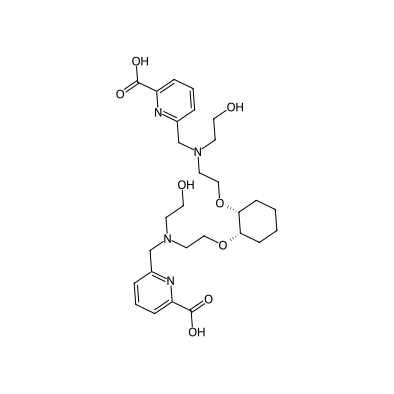 O=C(O)c1cccc(CN(CCO)CCO[C@H]2CCCC[C@H]2OCCN(CCO)Cc2cccc(C(=O)O)n2)n1